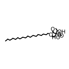 CCCCCCCCCCCCCCCCCCOC(=O)C(CC)(CC)P(=O)(O)O